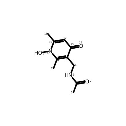 CC(=O)NCc1c(C)n(O)c(C)cc1=O